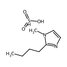 CCCCc1nccn1C.O=[SH](=O)O